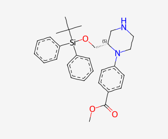 COC(=O)c1ccc(N2CCNC[C@H]2CO[Si](c2ccccc2)(c2ccccc2)C(C)(C)C)cc1